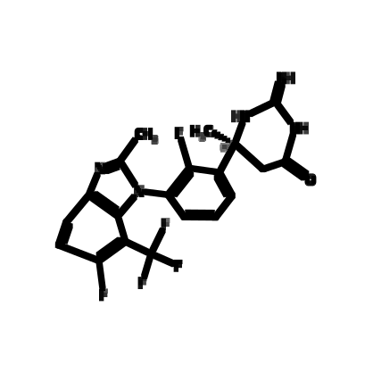 Cc1nc2ccc(F)c(C(F)(F)F)c2n1-c1cccc([C@]2(C)CC(=O)NC(=N)N2)c1F